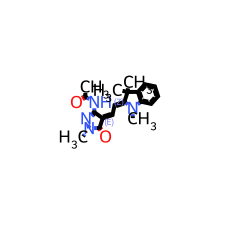 CC(=O)NC1=NN(C)C(=O)/C1=C/C=C1\N(C)c2ccccc2C1(C)C